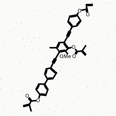 C=CC(=O)Oc1ccc(C#Cc2cc(C)c(C#Cc3ccc(-c4ccc(OC(=O)C(=C)C)cc4)cc3)c(OC)c2OC(=O)C(=C)C)cc1